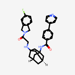 O=C(NC12C[C@@H]3C[C@@H](CC(NCC(=O)N4Cc5ccc(F)cc5C4)(C3)C1)C2)c1ccc(-c2ccncc2)cc1